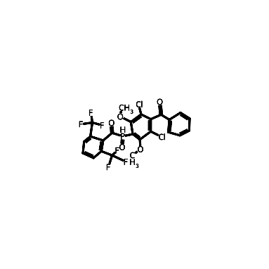 COc1c(Cl)c(C(=O)c2ccccc2)c(Cl)c(OC)c1[PH](=O)C(=O)c1c(C(F)(F)F)cccc1C(F)(F)F